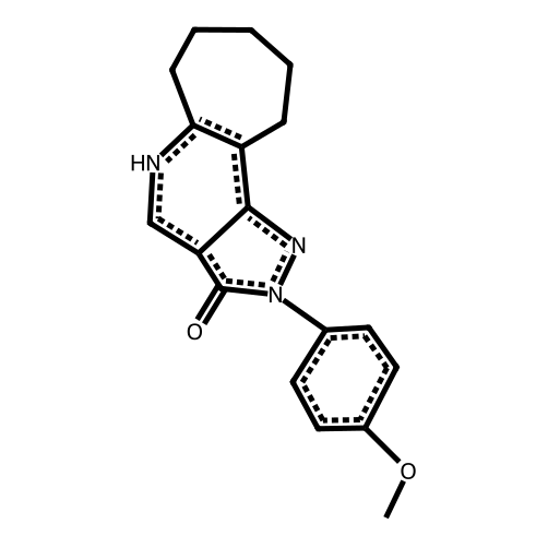 COc1ccc(-n2nc3c4c([nH]cc-3c2=O)CCCCC4)cc1